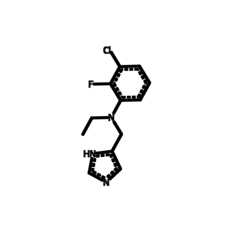 CCN(Cc1cnc[nH]1)c1cccc(Cl)c1F